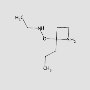 CCCC1(ONCC)CC[SiH2]1